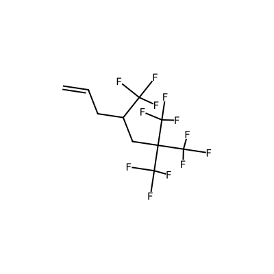 C=CCC(CC(C(F)(F)F)(C(F)(F)F)C(F)(F)F)C(F)(F)F